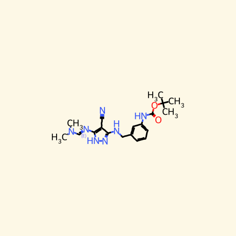 CN(C)/C=N/c1[nH]nc(NCc2cccc(NC(=O)OC(C)(C)C)c2)c1C#N